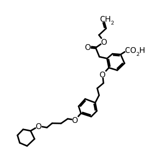 C=CCOC(=O)Cc1cc(C(=O)O)ccc1OCCCc1ccc(OCCCCOC2CCCCC2)cc1